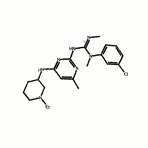 CCN1CCCC(Nc2cc(C)nc(N/C(=N/C)N(C)c3cccc(Cl)c3)n2)C1